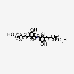 CC(C)(CCCCC1=CC(O)C=C(/C=C/C2=CC(O)C=C(CCCCC(C)(C)C(=O)O)C2O)C1O)C(=O)O